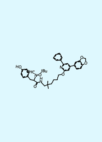 CC(C)(CCCCOc1cc(-c2ccc3c(c2)OCO3)cc(-c2ccccc2)n1)CNC(=O)C(Cc1ccc(O)cc1)N(C=O)OC(C)(C)C